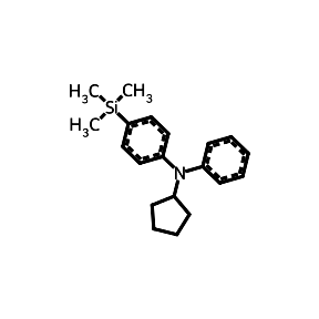 C[Si](C)(C)c1ccc(N(c2ccccc2)C2CCCC2)cc1